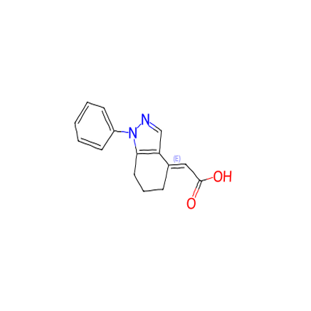 O=C(O)/C=C1\CCCc2c1cnn2-c1ccccc1